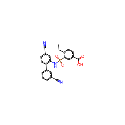 CCc1ccc(C(=O)O)cc1S(=O)(=O)Nc1cc(C#N)ccc1-c1cccc(C#N)c1